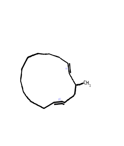 CC1/C=C/CCCCCCCCC/C=C/C1